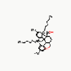 CC(C)CCCCCCCC1(CO)CCC(CO)C(c2ccc(C(C)(C)C)cc2C(C)(C)C)C1(CCCCCCCC(C)C)c1ccc(C(C)(C)C)cc1C(C)(C)C